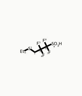 CCSCC(F)(F)C(F)(F)S(=O)(=O)O